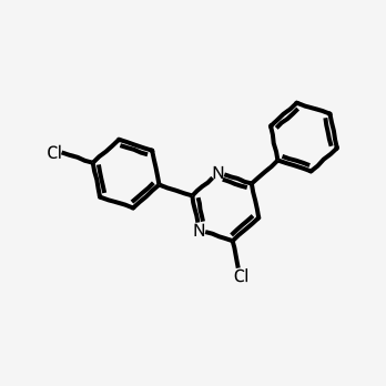 Clc1ccc(-c2nc(Cl)cc(-c3ccccc3)n2)cc1